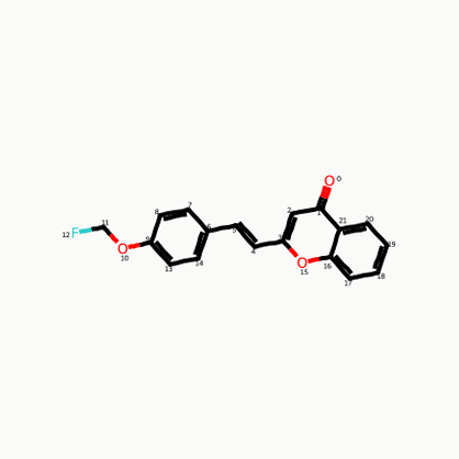 O=c1cc(/C=C/c2ccc(OCF)cc2)oc2ccccc12